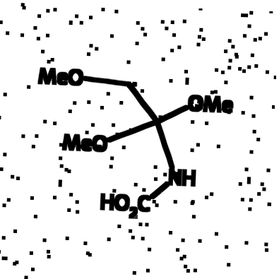 CO[CH]C(NC(=O)O)(OC)OC